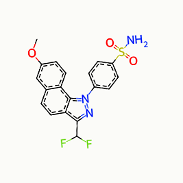 COc1ccc2c(ccc3c(C(F)F)nn(-c4ccc(S(N)(=O)=O)cc4)c32)c1